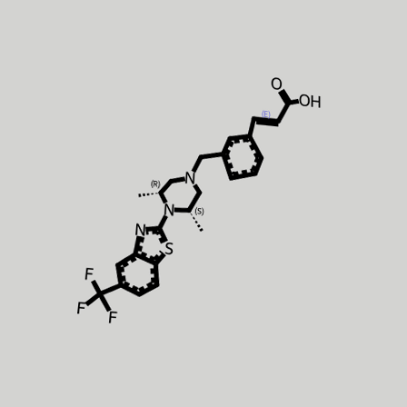 C[C@@H]1CN(Cc2cccc(/C=C/C(=O)O)c2)C[C@H](C)N1c1nc2cc(C(F)(F)F)ccc2s1